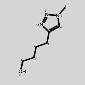 OCCCCc1cn(I)nn1